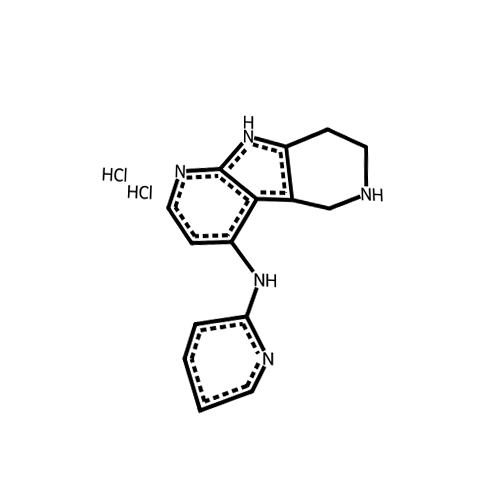 Cl.Cl.c1ccc(Nc2ccnc3[nH]c4c(c23)CNCC4)nc1